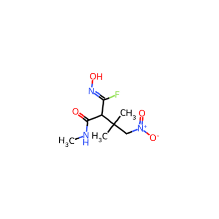 CNC(=O)C(/C(F)=N/O)C(C)(C)C[N+](=O)[O-]